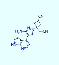 N#CCC1(n2cc(-c3ncnc4[nH]ccc34)c(N)n2)CC(C#N)C1